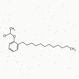 CCCCCCCCCCCCc1ccccc1OC(C)Cl